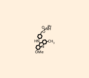 COc1ccc2c(Nc3ccc(COC(=O)NC(C)C)cc3)c3ccc(C)cc3nc2c1